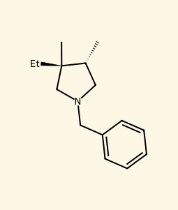 CC[C@]1(C)CN(Cc2ccccc2)C[C@H]1C